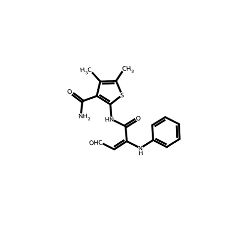 Cc1sc(NC(=O)C(=CC=O)Nc2ccccc2)c(C(N)=O)c1C